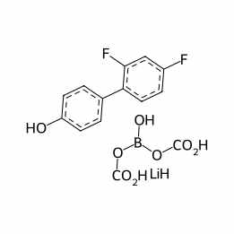 O=C(O)OB(O)OC(=O)O.Oc1ccc(-c2ccc(F)cc2F)cc1.[LiH]